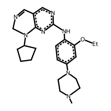 CCOc1cc(N2CCN(C)CC2)ccc1Nc1ncc2c(n1)N(C1CCCC1)CN=C2